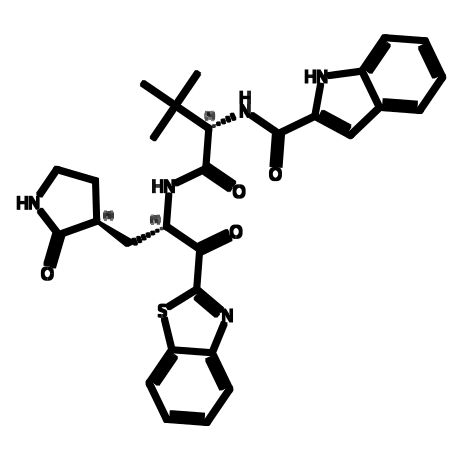 CC(C)(C)[C@H](NC(=O)c1cc2ccccc2[nH]1)C(=O)N[C@@H](C[C@@H]1CCNC1=O)C(=O)c1nc2ccccc2s1